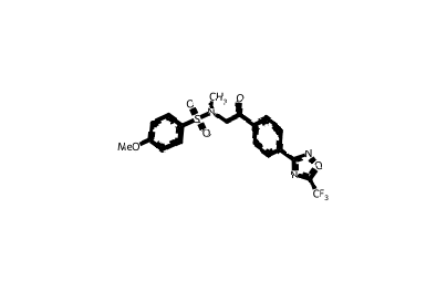 COc1ccc(S(=O)(=O)N(C)CC(=O)c2ccc(-c3noc(C(F)(F)F)n3)cc2)cc1